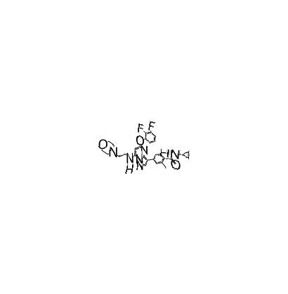 Cc1cc(-c2cnn3c(NCCN4CCOCC4)cc(Oc4cccc(F)c4F)nc23)ccc1C(=O)NC1CC1